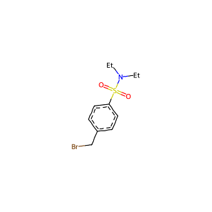 CCN(CC)S(=O)(=O)c1ccc(CBr)cc1